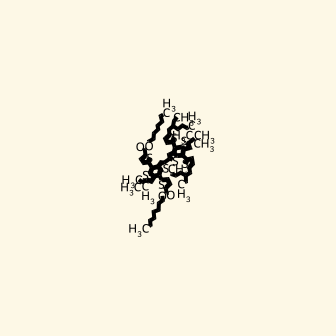 CCCCCCCCOC(=O)c1ccc(-c2c3cc(C(C)(C)C)sc3c(-c3ccc(C(=O)OCCCCCCCC)s3)c3cc(-c4cc5c(-c6ccc(CC(CC)CCCC)s6)c6sc(C(C)(C)C)cc6c(-c6ccc(CC(CC)CCCC)s6)c5s4)sc23)s1